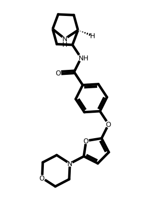 O=C(NC1CC2CC[C@@H]1N2)c1ccc(Oc2ccc(N3CCOCC3)o2)cc1